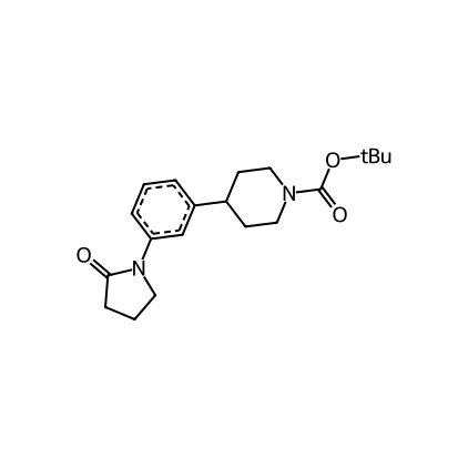 CC(C)(C)OC(=O)N1CCC(c2cccc(N3CCCC3=O)c2)CC1